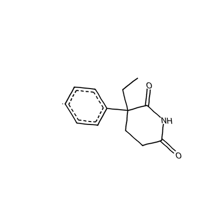 CCC1(c2cc[c]cc2)CCC(=O)NC1=O